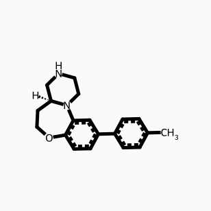 Cc1ccc(-c2ccc3c(c2)N2CCNC[C@@H]2CCO3)cc1